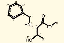 COC(=O)[C@@H](NCc1ccccc1)C(C)O